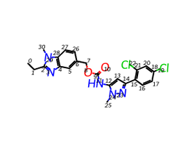 CCc1nc2cc(COC(=O)Nc3cc(-c4ccc(Cl)cc4Cl)nn3C)ccc2n1C